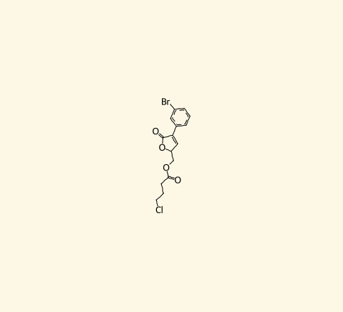 O=C(CCCCl)OCC1C=C(c2cccc(Br)c2)C(=O)O1